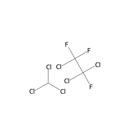 ClC(Cl)Cl.FC(F)(Cl)C(F)(Cl)Cl